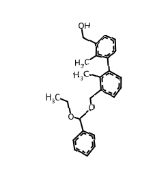 CCOC(OCc1cccc(-c2cccc(CO)c2C)c1C)c1ccccc1